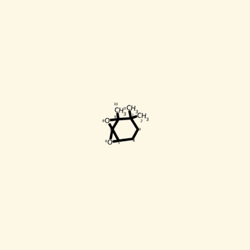 CC1(C)CC[C]2OC23OC13C